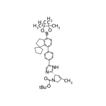 CC1=C[C@@H](c2ncc(-c3ccc(-c4ccc(B5OC(C)(C)C(C)(C)O5)c5c4C4(CCCC4)CC5)cc3)[nH]2)N(C(=O)OC(C)(C)C)C1